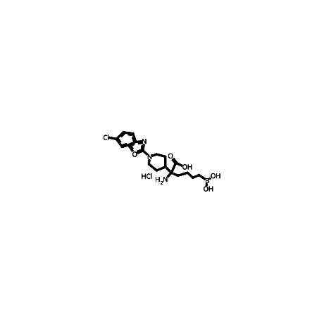 Cl.NC(CCCCB(O)O)(C(=O)O)C1CCN(c2nc3ccc(Cl)cc3o2)CC1